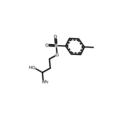 CCCC(O)CCOS(=O)(=O)c1ccc(C)cc1